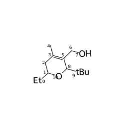 CCC1CC(C)=C(CO)C(C(C)(C)C)O1